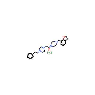 Cl.O=C(CN1CCN(CCc2ccccc2)CC1)N1CCN(Cc2cccc3c2OCC3)CC1